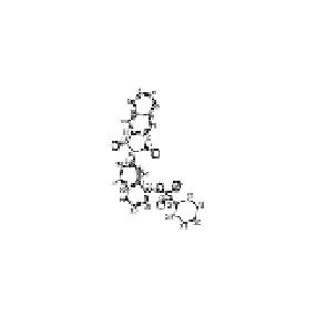 O=C1c2cc3ccccc3cc2C(=O)C1c1ccc2cccc(OS(=O)(=O)C3CCCCC3)c2n1